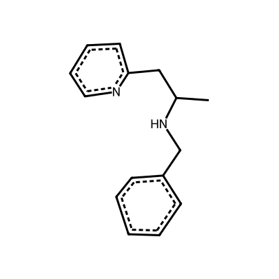 CC(Cc1ccccn1)NCc1ccccc1